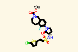 CC(C)(C)OC(=O)N1CCCc2c(ccc(N3CC[C@H](NS(=O)(=O)C=Cc4ccc(Cl)s4)C3=O)c2F)C1